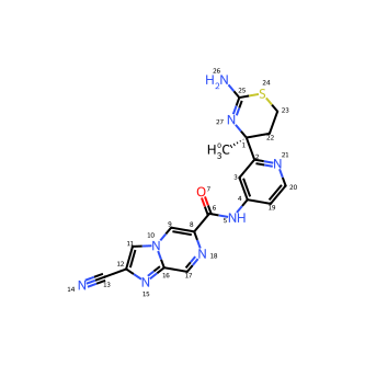 C[C@@]1(c2cc(NC(=O)c3cn4cc(C#N)nc4cn3)ccn2)CCSC(N)=N1